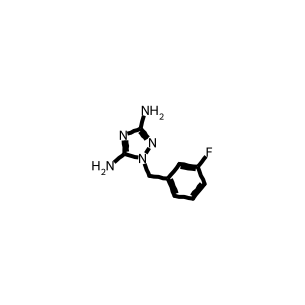 Nc1nc(N)n(Cc2cccc(F)c2)n1